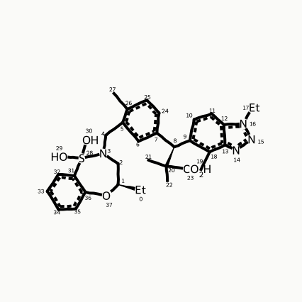 CC[C@@H]1CN(Cc2cc([C@@H](c3ccc4c(nnn4CC)c3C)C(C)(C)C(=O)O)ccc2C)S(O)(O)c2ccccc2O1